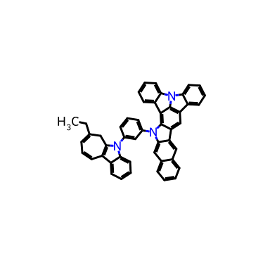 CCC1=CC=Cc2c(n(-c3cccc(-n4c5cc6ccccc6cc5c5cc6c7ccccc7n7c8ccccc8c(c54)c67)c3)c3ccccc23)C1